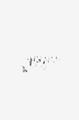 CNC(=O)Nc1ccc(N(C)C)nc1